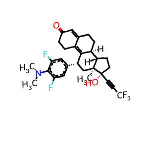 CN(C)c1c(F)cc([C@H]2C[C@@]3(C)[C@@H](CC[C@@]3(O)C#CC(F)(F)F)[C@@H]3CCC4=CC(=O)CCC4=C32)cc1F